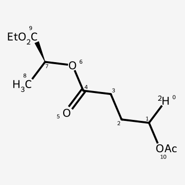 [2H]C(CCC(=O)O[C@@H](C)C(=O)OCC)OC(C)=O